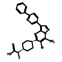 Nc1c(Br)c([C@H]2CC[C@@H](C(F)C(=O)O)CC2)nc2c(-c3ccc(-c4ccccc4)nc3)cnn12